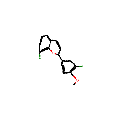 COc1ccc(C2C=Cc3cccc(Cl)c3O2)cc1F